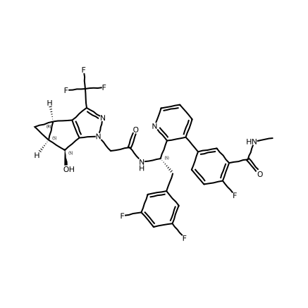 CNC(=O)c1cc(-c2cccnc2[C@H](Cc2cc(F)cc(F)c2)NC(=O)Cn2nc(C(F)(F)F)c3c2[C@@H](O)[C@H]2C[C@@H]32)ccc1F